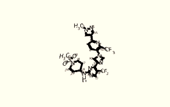 Cn1cc(-c2ccc(-n3cnc(-c4nc(NC5CCN(S(C)(=O)=O)CC5)ncc4C(F)(F)F)c3)c(C(F)(F)F)n2)cn1